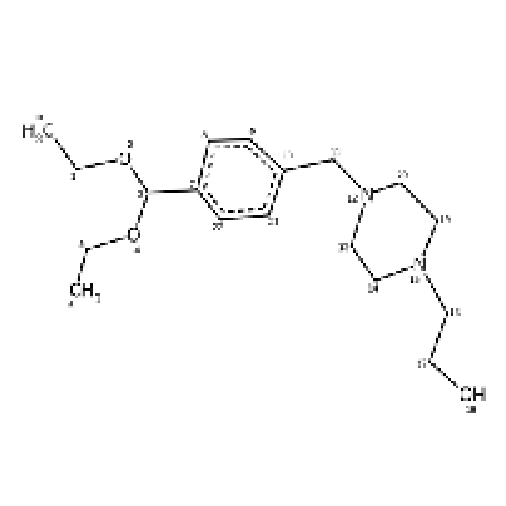 CCOC(OCC)c1ccc(CN2CCN(CCO)CC2)cc1